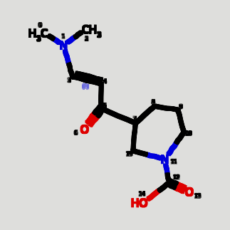 CN(C)/C=C/C(=O)C1CCCN(C(=O)O)C1